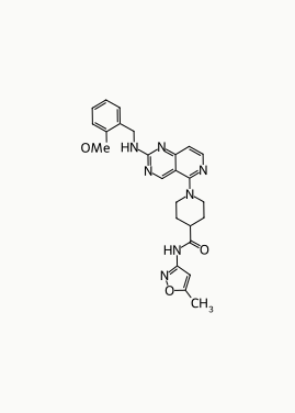 COc1ccccc1CNc1ncc2c(N3CCC(C(=O)Nc4cc(C)on4)CC3)nccc2n1